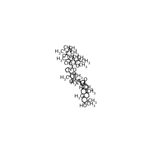 CC[C@H](C)[C@@H]([C@@H](CC(=O)N1CCCC1[C@H](OC)[C@@H](C)C(=O)NCCN1C(=O)[C@]23CCC(C)(C)C1C2[C@H]1CCC2[C@@]4(C)CC[C@H](O)C(C)(C)C4CC[C@@]2(C)[C@]1(C)CC3)OC)N(C)C(=O)[C@@H](NC(=O)[C@H](C(C)C)N(C)C)C(C)C